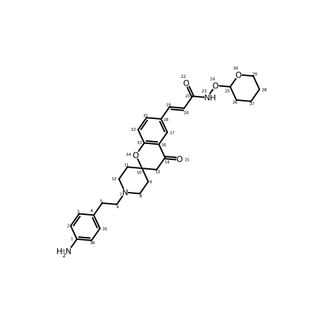 Nc1ccc(CCN2CCC3(CC2)CC(=O)c2cc(C=CC(=O)NOC4CCCCO4)ccc2O3)cc1